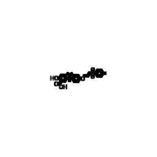 Cc1ccc(S(=O)(=O)CCCOc2ccc(C(C)(c3ccc(O)c(C(=O)O)c3)C(C)C)cc2)cc1